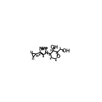 OCC1OCCC(n2cc(C3CC3)nn2)C1O